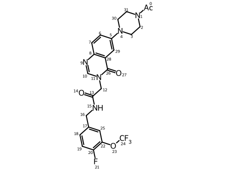 CC(=O)N1CCN(c2ccc3ncn(CC(=O)NCc4ccc(F)c(OC(F)(F)F)c4)c(=O)c3c2)CC1